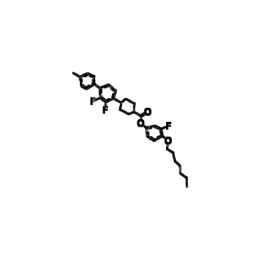 CCCCCCCOc1ccc(OC(=O)C2CCC(c3ccc(-c4ccc(C)cc4)c(F)c3F)CC2)cc1F